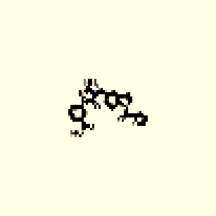 NC1=NN(c2cccc(C(=O)O)c2)C(=O)/C1=C\c1ccc2c(ccn2C(=O)c2ccco2)c1